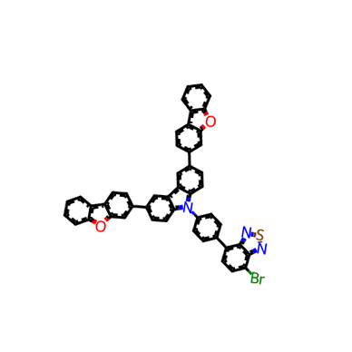 Brc1ccc(-c2ccc(-n3c4ccc(-c5ccc6c(c5)oc5ccccc56)cc4c4cc(-c5ccc6c(c5)oc5ccccc56)ccc43)cc2)c2nsnc12